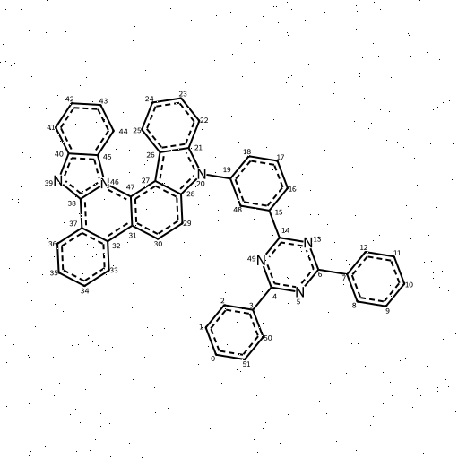 c1ccc(-c2nc(-c3ccccc3)nc(-c3cccc(-n4c5ccccc5c5c4ccc4c6ccccc6c6nc7ccccc7n6c45)c3)n2)cc1